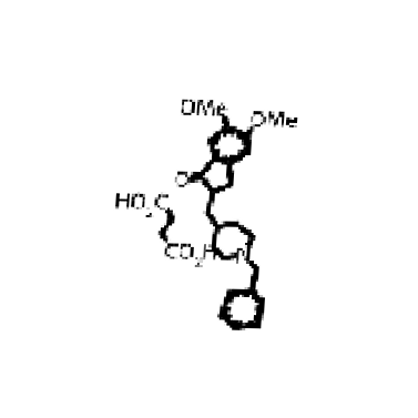 COc1cc2c(cc1OC)C(=O)C(CC1CCN(Cc3ccccc3)CC1)C2.O=C(O)CCC(=O)O